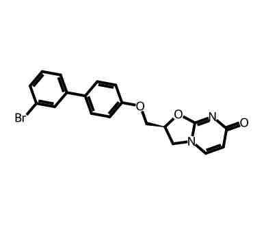 O=c1ccn2c(n1)O[C@H](COc1ccc(-c3cccc(Br)c3)cc1)C2